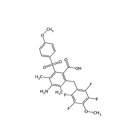 COc1ccc(S(=O)(=O)c2c(C)c(N)c(C)c(Cc3c(F)c(F)c(OC)c(F)c3F)c2C(=O)O)cc1